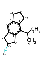 CC(C)c1c2c(cc3c1CC(F)C3)CCC2